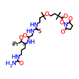 CC(C)C(=O)[C@H](CCCNC(N)=O)NC(=O)CNC(=S)NCCC(C)(C)OCCC(C)(C)C(=O)ON1C(=O)CCC1=O